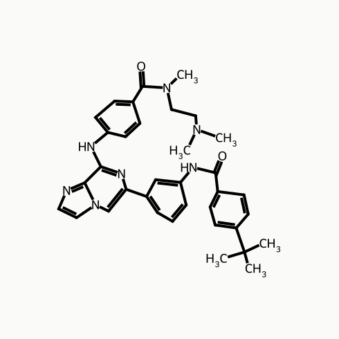 CN(C)CCN(C)C(=O)c1ccc(Nc2nc(-c3cccc(NC(=O)c4ccc(C(C)(C)C)cc4)c3)cn3ccnc23)cc1